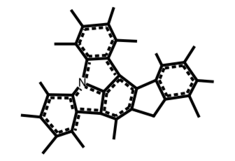 Cc1c(C)c(C)c2c(c1C)Cc1c(C)c3c4c(C)c(C)c(C)c(C)c4n4c5c(C)c(C)c(C)c(C)c5c(c1-2)c34